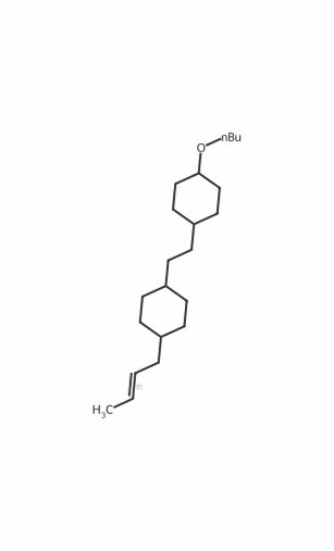 C/C=C/CC1CCC(CCC2CCC(OCCCC)CC2)CC1